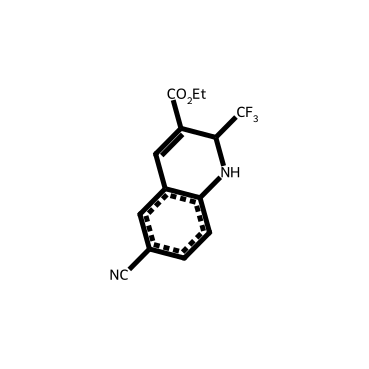 CCOC(=O)C1=Cc2cc(C#N)ccc2NC1C(F)(F)F